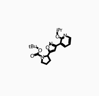 CC(C)Oc1ncccc1-c1cc(C2CCCN2C(=O)OC(C)(C)C)on1